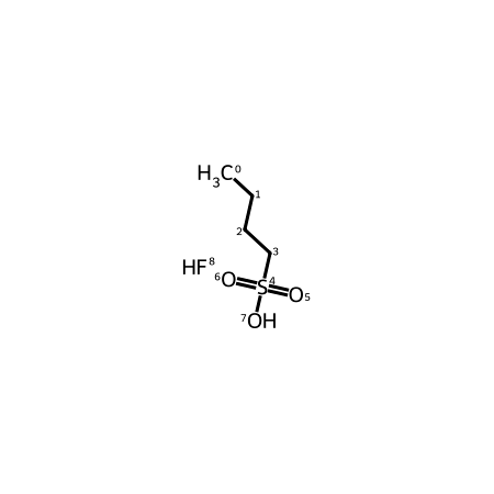 CCCCS(=O)(=O)O.F